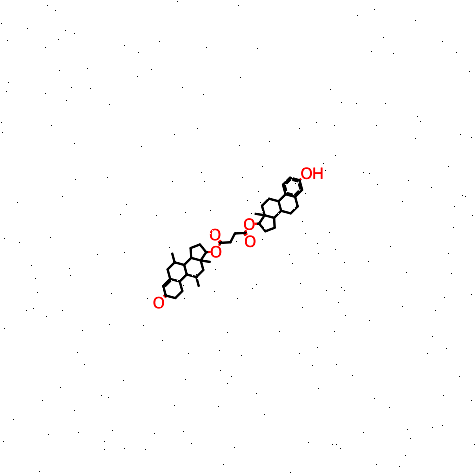 CC1CC2(C)C(OC(=O)CCC(=O)OC3CCC4C5CCc6cc(O)ccc6C5CCC34C)CCC2C2C(C)CC3=CC(=O)CCC3C12